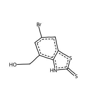 OCc1cc(Br)cc2sc(=S)[nH]c12